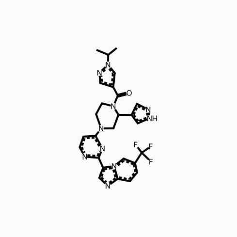 CC(C)n1cc(C(=O)N2CCN(c3ccnc(-c4cnc5ccc(C(F)(F)F)cn45)n3)CC2c2cn[nH]c2)cn1